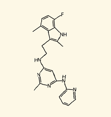 Cc1nc(NCCc2c(C)[nH]c3c(F)ccc(C)c23)cc(Nc2ccccn2)n1